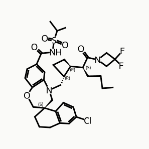 CCCC[C@H](C(=O)N1CC(F)(F)C1)[C@@H]1CC[C@H]1CN1C[C@@]2(CCCc3cc(Cl)ccc32)COc2ccc(C(=O)NS(=O)(=O)C(C)C)cc21